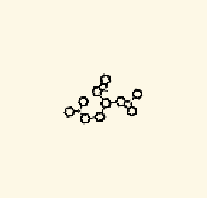 c1ccc(N(c2ccccc2)c2cccc(-c3cccc(-c4cc(-c5ccc6c(c5)c5ccccc5n6-c5ccccc5)cc(-c5cccc6c5oc5ccccc56)c4)c3)c2)cc1